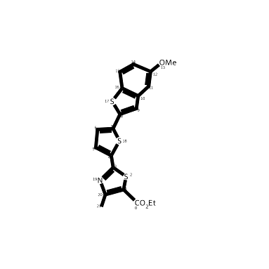 CCOC(=O)c1sc(-c2ccc(-c3cc4cc(OC)ccc4s3)s2)nc1C